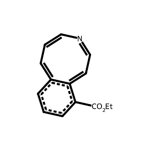 CCOC(=O)c1cccc2c1=CC=NC=CC=2